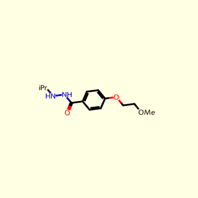 COCCOc1ccc(C(=O)NNC(C)C)cc1